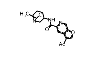 CC(=O)c1coc2cnc(C(=O)NC3CN4CCC3CC4C)cc12